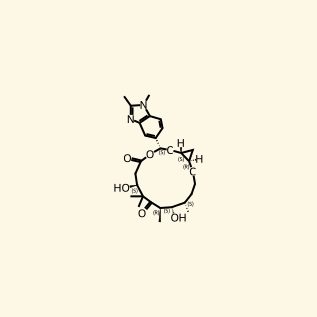 Cc1nc2cc([C@@H]3C[C@@H]4C[C@H]4CCC[C@H](C)[C@H](O)[C@@H](C)C(=O)C(C)(C)[C@@H](O)CC(=O)O3)ccc2n1C